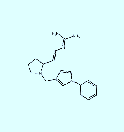 NC(N)=N/N=C/C1CCCN1Cc1ccn(-c2ccccc2)c1